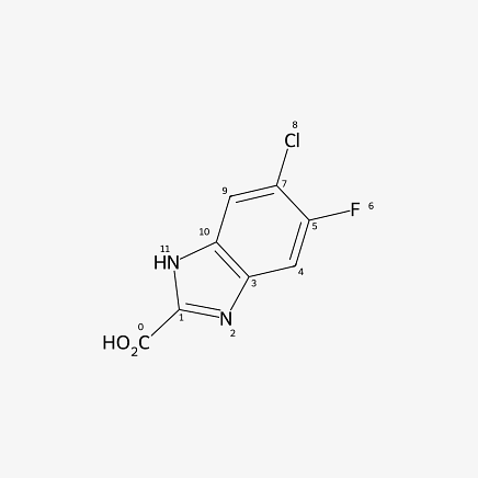 O=C(O)c1nc2cc(F)c(Cl)cc2[nH]1